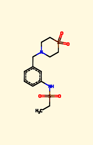 CCS(=O)(=O)Nc1cccc(CN2CCS(=O)(=O)CC2)c1